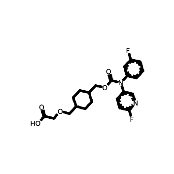 O=C(O)COCC1CCC(COC(=O)N(c2ccc(F)nc2)c2cccc(F)c2)CC1